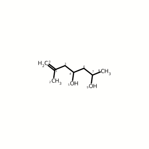 C=C(C)CC(O)CC(C)O